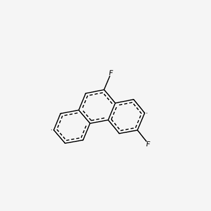 Fc1[c]cc2c(F)cc3c[c]ccc3c2c1